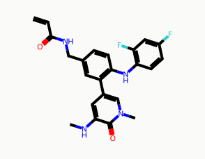 C=CC(=O)NCc1ccc(Nc2ccc(F)cc2F)c(-c2cc(NC)c(=O)n(C)c2)c1